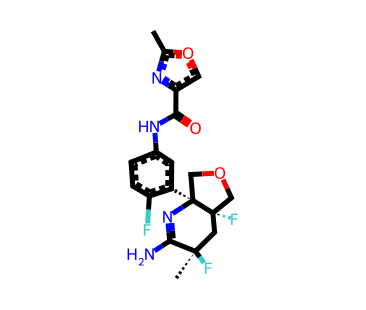 Cc1nc(C(=O)Nc2ccc(F)c([C@]34COC[C@@]3(F)C[C@@](C)(F)C(N)=N4)c2)co1